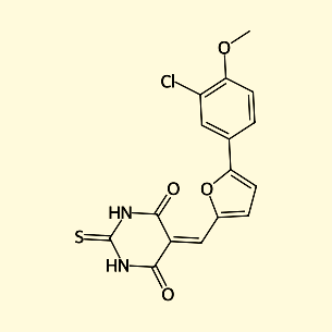 COc1ccc(-c2ccc(C=C3C(=O)NC(=S)NC3=O)o2)cc1Cl